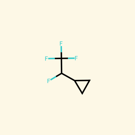 FC(C1CC1)C(F)(F)F